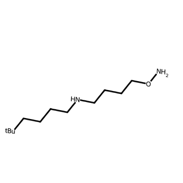 CC(C)(C)CCCCNCCCCON